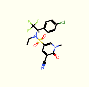 CCN([C@H](c1ccc(Cl)cc1)C(F)(F)F)S(=O)(=O)c1cc(C#N)c(=O)n(C)c1